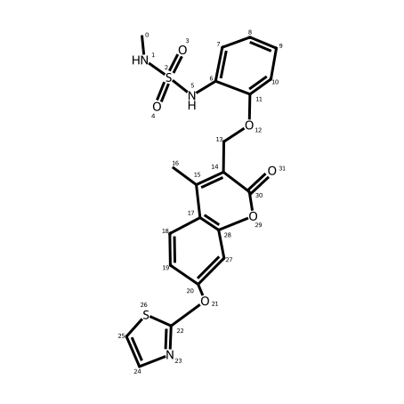 CNS(=O)(=O)Nc1ccccc1OCc1c(C)c2ccc(Oc3nccs3)cc2oc1=O